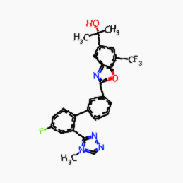 Cn1cnnc1-c1cc(F)ccc1-c1cccc(-c2nc3cc(C(C)(C)O)cc(C(F)(F)F)c3o2)c1